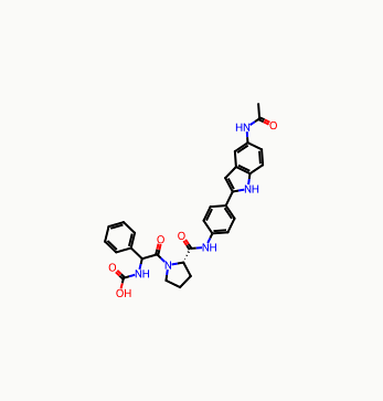 CC(=O)Nc1ccc2[nH]c(-c3ccc(NC(=O)[C@@H]4CCCN4C(=O)C(NC(=O)O)c4ccccc4)cc3)cc2c1